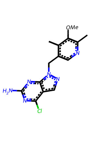 COc1c(C)ncc(Cn2ncc3c(Cl)nc(N)nc32)c1C